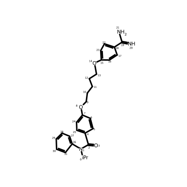 CC(C)N(C(=O)c1ccc(OCCCCCOc2ccc(C(=N)N)cc2)cc1)c1ccccc1